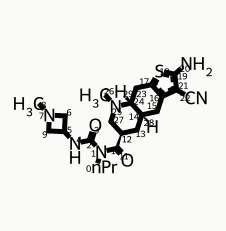 CCCN(C(=O)NC1CN(C)C1)C(=O)[C@@H]1C[C@@H]2Cc3c(sc(N)c3C#N)C[C@H]2N(C)C1